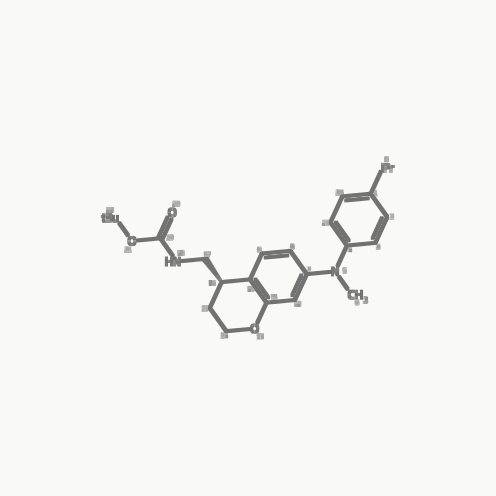 CC(C)c1ccc(N(C)c2ccc3c(c2)OCC[C@H]3CNC(=O)OC(C)(C)C)cc1